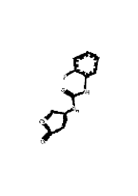 O=C(NC1=CC(=O)OC1)Nc1ccccc1F